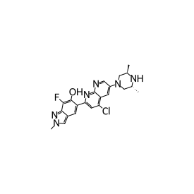 C[C@@H]1CN(c2cnc3nc(-c4cc5cn(C)nc5c(F)c4O)cc(Cl)c3c2)C[C@@H](C)N1